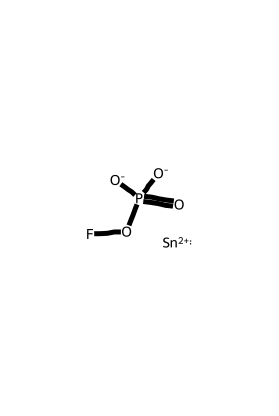 O=P([O-])([O-])OF.[Sn+2]